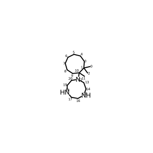 CC1(C)CCCCCCCC1(C)N1CCNCCNCC1